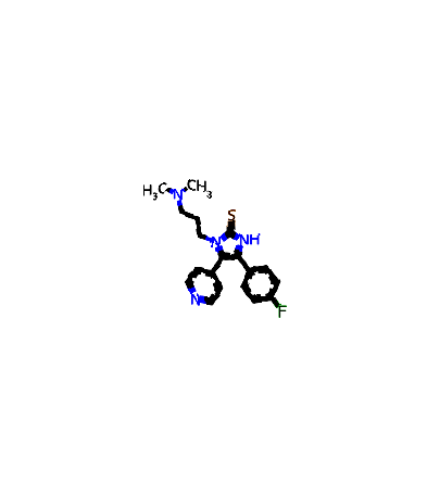 CN(C)CCCn1c(-c2ccncc2)c(-c2ccc(F)cc2)[nH]c1=S